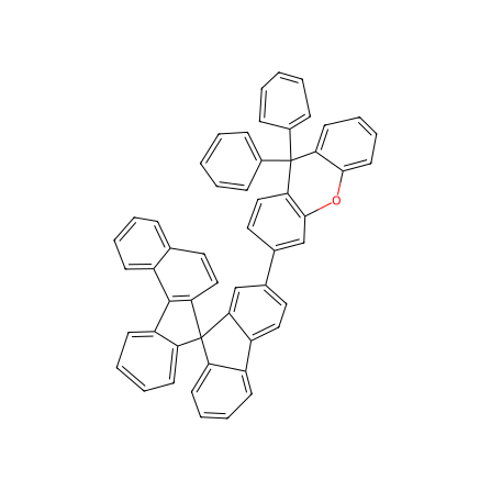 c1ccc(C2(c3ccccc3)c3ccccc3Oc3cc(-c4ccc5c(c4)C4(c6ccccc6-5)c5ccccc5-c5c4ccc4ccccc54)ccc32)cc1